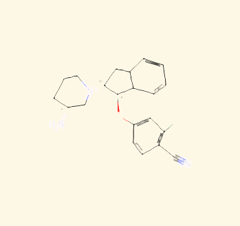 N#Cc1ccc(O[C@@H]2C3C=CC=CC3C[C@H]2N2CCC[C@@H](N)C2)cc1Cl